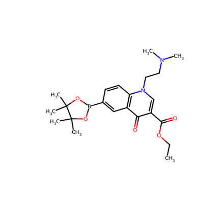 CCOC(=O)c1cn(CCN(C)C)c2ccc(B3OC(C)(C)C(C)(C)O3)cc2c1=O